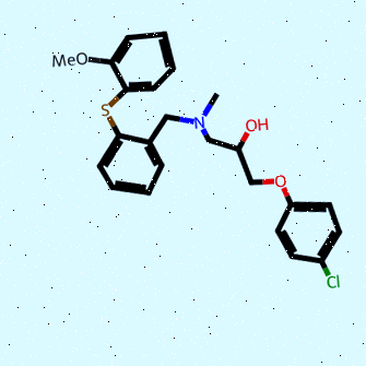 COc1ccccc1Sc1ccccc1CN(C)CC(O)COc1ccc(Cl)cc1